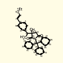 CCO/C=C/c1ccc(C(C)[C@]2(C)CC(=O)N(C(c3ccccc3)(c3ccccc3)c3ccccc3)C2=O)cc1